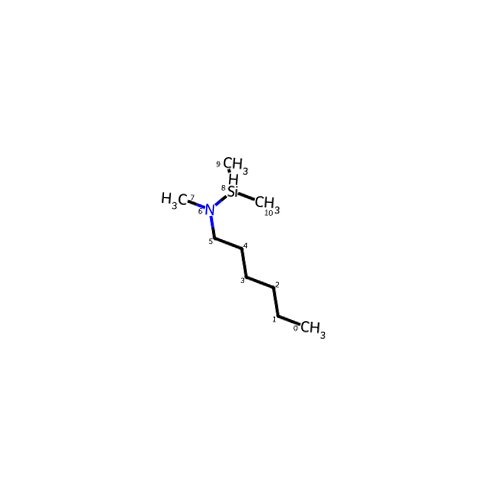 CCCCCCN(C)[SiH](C)C